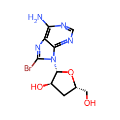 Nc1ncnc2c1nc(Br)n2[C@@H]1O[C@H](CO)C[C@H]1O